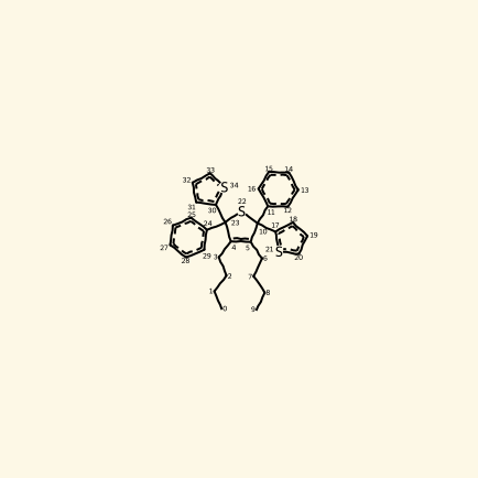 CCCCC1=C(CCCC)C(c2ccccc2)(c2cccs2)SC1(c1ccccc1)c1cccs1